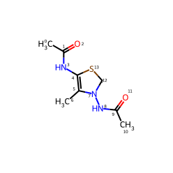 CC(=O)NC1=C(C)N(NC(C)=O)[CH]S1